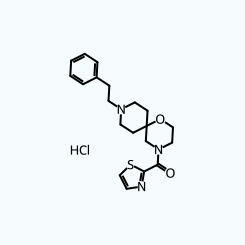 Cl.O=C(c1nccs1)N1CCOC2(CCN(CCc3ccccc3)CC2)C1